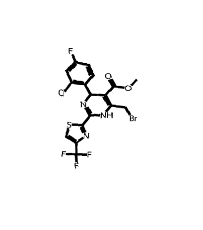 COC(=O)C1=C(CBr)NC(c2nc(C(F)(F)F)cs2)=NC1c1ccc(F)cc1Cl